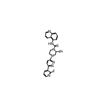 CC(C)C1CN(c2ccc(-c3cccnc3F)nn2)CCN1C(=S)Nc1cccc2ncccc12